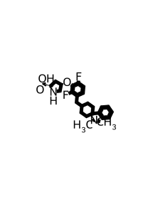 CN(C)C1(c2ccccc2)CCC(Cc2ccc(F)c(O[C@@H]3CN[C@H](C(=O)O)C3)c2F)CC1